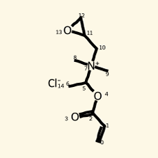 C=CC(=O)OC(C)[N+](C)(C)CC1CO1.[Cl-]